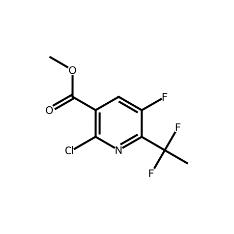 COC(=O)c1cc(F)c(C(C)(F)F)nc1Cl